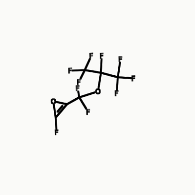 FC1=C(C(F)(F)OC(F)(C(F)(F)F)C(F)(F)F)O1